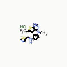 CN(c1ncnc2sc(CC(F)(F)F)cc12)[C@@H]1CC[C@H](NCc2cncs2)C1.Cl